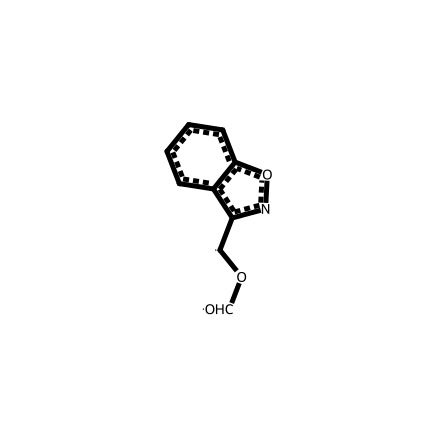 O=[C]O[CH]c1noc2ccccc12